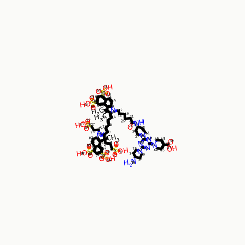 CC1(CCCS(=O)(=O)O)C(/C=C/C=C/C=C2/N(CCCCCC(=O)NC3CCN(c4nc(N5CCC(N)CC5)nc(N5CCC(C(=O)O)CC5)n4)CC3)c3ccc4c(S(=O)(=O)O)cc(S(=O)(=O)O)cc4c3C2(C)C)=[N+](CCCS(=O)(=O)O)c2ccc3c(S(=O)(=O)O)cc(S(=O)(=O)O)cc3c21